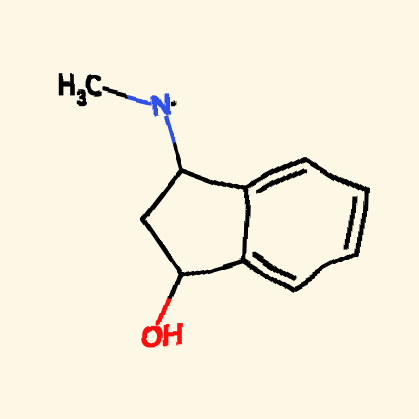 C[N]C1CC(O)c2ccccc21